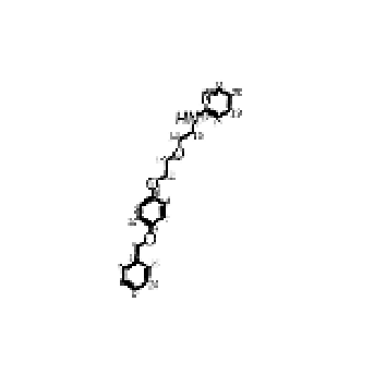 c1ccc(COc2ccc(OCCOCCNc3ccccn3)cc2)cc1